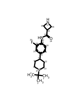 CC(C)(C)N1CCC(c2ccc(NC(=O)C3CNC3)c(F)c2)CC1